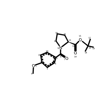 COc1ccc(C(=O)N2CCC[C@H]2C(=O)OC(C)(C)C)cc1